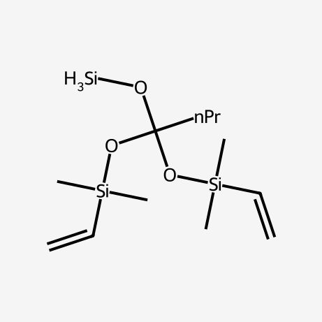 C=C[Si](C)(C)OC(CCC)(O[SiH3])O[Si](C)(C)C=C